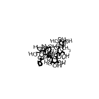 CC1OC(CO)C(O)C(O)C1OC1OC(CO)C(OC2OC(COC3(C(=O)OCC(=O)c4ccccc4)CC(O)C(N)C(C(O)C(O)CO)O3)C(O)C(O)C2O)C(O)C1C